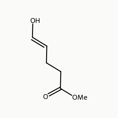 COC(=O)CCC=CO